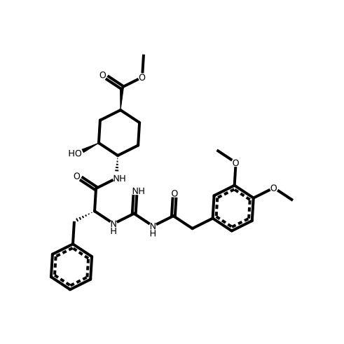 COC(=O)[C@H]1CC[C@H](NC(=O)[C@@H](Cc2ccccc2)NC(=N)NC(=O)Cc2ccc(OC)c(OC)c2)[C@@H](O)C1